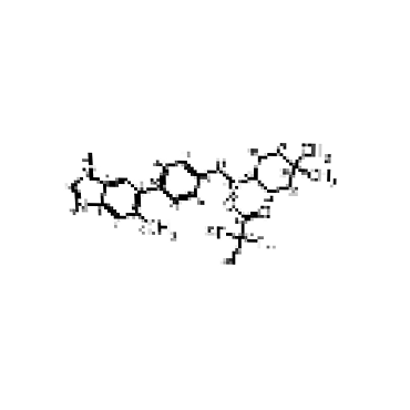 Cc1cc2nc[nH]c2cc1-c1ccc(CN(OC(=O)C(F)(F)F)C2CCC(C)(C)CC2)cc1